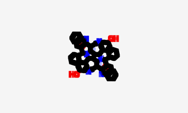 N#C/C(c1nc2ccccc2o1)=c1\c2c(-c3ccc(O)cc3)n(B(c3ccccc3)c3ccccc3)/c(=C(/C#N)c3nc4ccccc4o3)c2c(-c2ccc(O)cc2)n1B(c1ccccc1)c1ccccc1